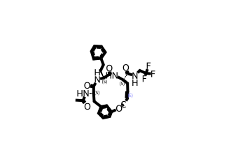 CC(=O)N[C@H]1Cc2cccc(c2)OC/C=C/C[C@@H](C(=O)NCC(F)(F)F)NC(=O)[C@H](CCc2ccccc2)NC1=O